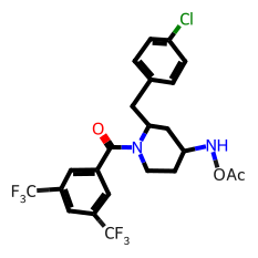 CC(=O)ONC1CCN(C(=O)c2cc(C(F)(F)F)cc(C(F)(F)F)c2)C(Cc2ccc(Cl)cc2)C1